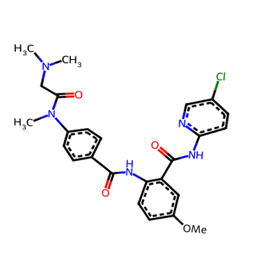 COc1ccc(NC(=O)c2ccc(N(C)C(=O)CN(C)C)cc2)c(C(=O)Nc2ccc(Cl)cn2)c1